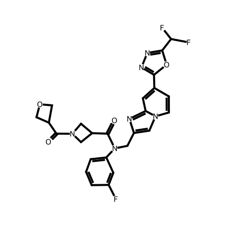 O=C(C1COC1)N1CC(C(=O)N(Cc2cn3ccc(-c4nnc(C(F)F)o4)cc3n2)c2cccc(F)c2)C1